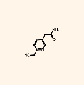 N#C[CH]c1ccc(CC(N)=O)cn1